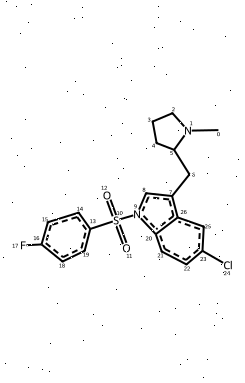 CN1CCCC1Cc1cn(S(=O)(=O)c2ccc(F)cc2)c2ccc(Cl)cc12